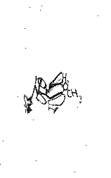 C[C@H]1CCc2c1c(O)c(C(=O)Nc1cnsc1)c(=O)n2C